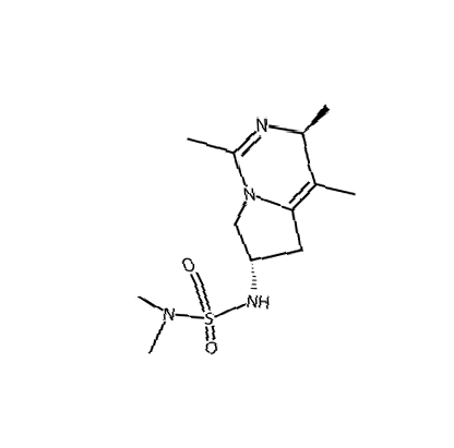 CC1=N[C@@H](C)C(C)=C2C[C@H](NS(=O)(=O)N(C)C)CN12